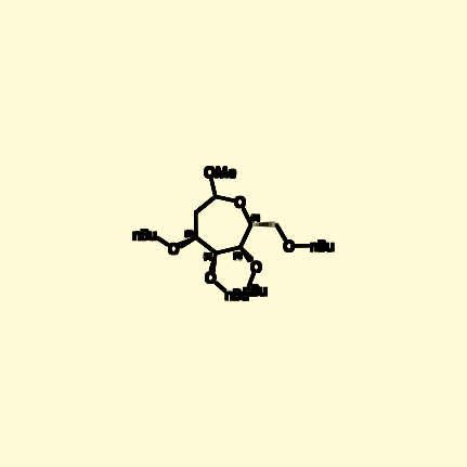 CCCCOC[C@H]1OC(OC)C[C@H](OCCCC)[C@H](OCCCC)[C@@H]1OCCCC